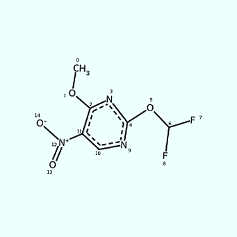 COc1nc(OC(F)F)ncc1[N+](=O)[O-]